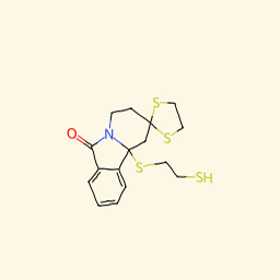 O=C1c2ccccc2C2(SCCS)CC3(CCN12)SCCS3